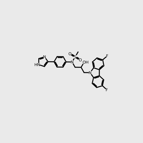 CS(=O)(=O)N(CC(O)Cn1c2ccc(F)cc2c2cc(F)ccc21)c1ccc(-c2c[nH]cn2)cc1